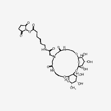 C[C@@H]1O[C@H]2OCCNC(=O)CN(CC(=O)NCCCCCC(=O)ON3C(=O)CCC3=O)CC(=O)NCCO[C@@H]3O[C@@H](O[C@H]2[C@H](O)[C@@H]1O)[C@@H](O)[C@@H](O)[C@@H]3O